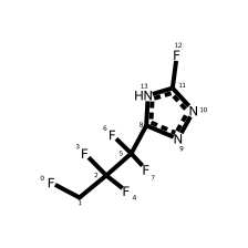 FCC(F)(F)C(F)(F)c1nnc(F)[nH]1